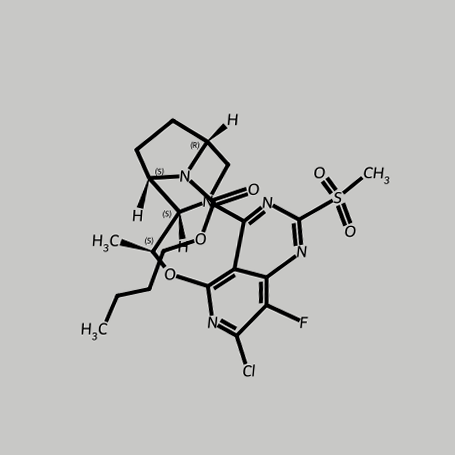 CCCCOC(=O)N1[C@@H]2CC[C@H]1[C@H]1[C@H](C)Oc3nc(Cl)c(F)c4nc(S(C)(=O)=O)nc(c34)N1C2